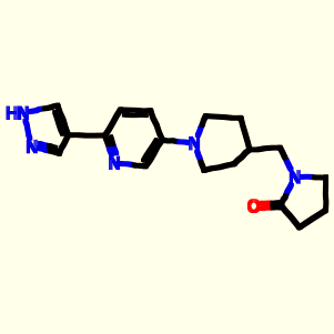 O=C1CCCN1CC1CCN(c2ccc(-c3cn[nH]c3)nc2)CC1